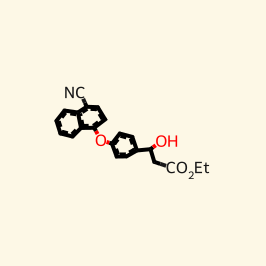 CCOC(=O)CC(O)c1ccc(Oc2ccc(C#N)c3ccccc23)cc1